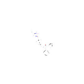 O=C(N(CC12CCC(c3nc(C(F)F)no3)(CC1)CC2)c1cccc(Br)c1)C12CC(F)C(C1)C2